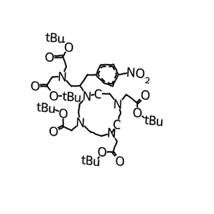 CC(C)(C)OC(=O)CN1CCN(CC(=O)OC(C)(C)C)CCN(C(Cc2ccc([N+](=O)[O-])cc2)CN(CC(=O)OC(C)(C)C)CC(=O)OC(C)(C)C)CCN(CC(=O)OC(C)(C)C)CC1